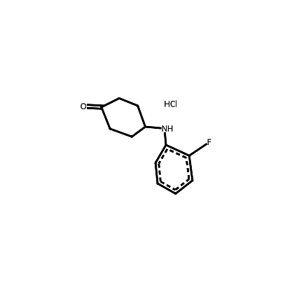 Cl.O=C1CCC(Nc2ccccc2F)CC1